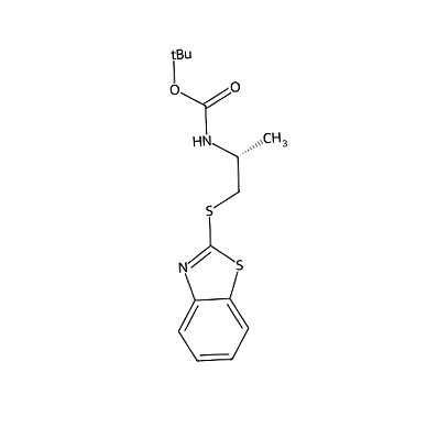 C[C@H](CSc1nc2ccccc2s1)NC(=O)OC(C)(C)C